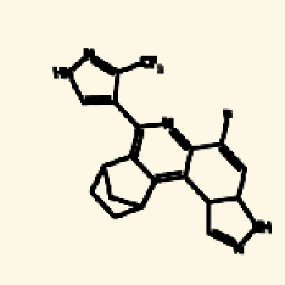 FC1=CC2NN=CC2c2c1nc(-c1c[nH]nc1C(F)(F)F)c1c2C2CCC1C2